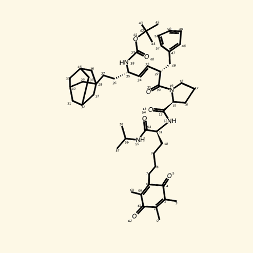 CC1=C(C)C(=O)C(CCCC[C@H](NC(=O)[C@@H]2CCCN2C(=O)[C@H](/C=C/[C@H](CCC23CC4CC(CC(C4)C2)C3)NC(=O)OC(C)(C)C)Cc2ccccc2)C(=O)NC(C)C)=C(C)C1=O